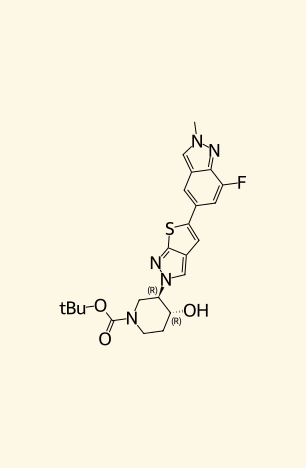 Cn1cc2cc(-c3cc4cn([C@@H]5CN(C(=O)OC(C)(C)C)CC[C@H]5O)nc4s3)cc(F)c2n1